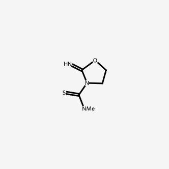 CNC(=S)N1CCOC1=N